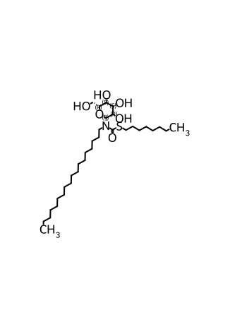 CCCCCCCCCCCCCCCCCCN(C(=O)SCCCCCCCC)[C@@H]1O[C@H](CO)[C@@H](O)[C@H](O)[C@H]1O